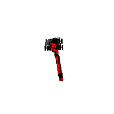 CCCCCCCCCCCCCCOCCOCCOCCO[C@@H]1O[C@H](CO)[C@@H](O[C@@H]2O[C@H](CO)[C@H](O)[C@H](O)[C@H]2O)[C@H](O)[C@H]1O